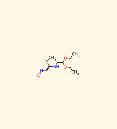 CCOC(CN/C(=C/N=O)SC)OCC